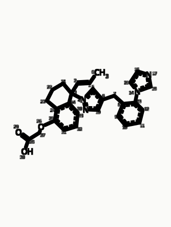 CC=CC1(n2cc(Cc3ccccc3-n3ccnc3)cn2)CCCc2c(OCC(=O)O)cccc21